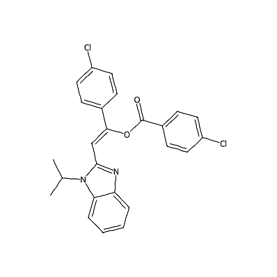 CC(C)n1c(C=C(OC(=O)c2ccc(Cl)cc2)c2ccc(Cl)cc2)nc2ccccc21